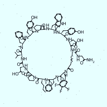 CCCC[C@H]1C(=O)N2CCC[C@@H]2C(=O)N[C@@H](CC(=O)O)C(=O)N[C@@H](C(C)C)C(=O)N(C)[C@@H](Cc2ccccc2)C(=O)N[C@@H](Cc2ccc(O)cc2)C(=O)N2CCC[C@@H]2C(=O)N[C@@H](Cc2c[nH]c3ccccc23)C(=O)N[C@@H](Cc2ccc(O)cc2)C(=O)N[C@@H](CC(=O)O)C(=O)N[C@H](C(=O)NCC(N)=O)CSCC(=O)N[C@@H](Cc2cc(F)c(F)c(F)c2)C(=O)N(C)[C@@H](Cc2ccccc2)C(=O)N1C